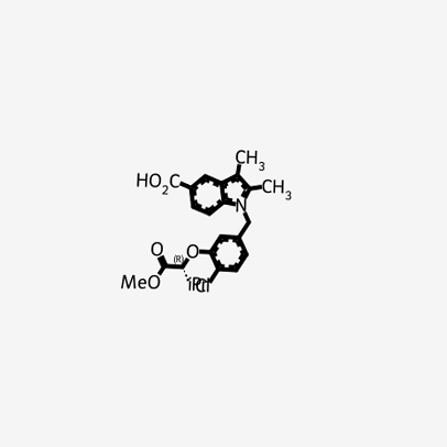 COC(=O)[C@H](Oc1cc(Cn2c(C)c(C)c3cc(C(=O)O)ccc32)ccc1Cl)C(C)C